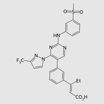 CC/C(=C\C(=O)O)c1cccc(-c2cnc(Nc3cccc(S(C)(=O)=O)c3)nc2-n2ccc(C(F)(F)F)n2)c1